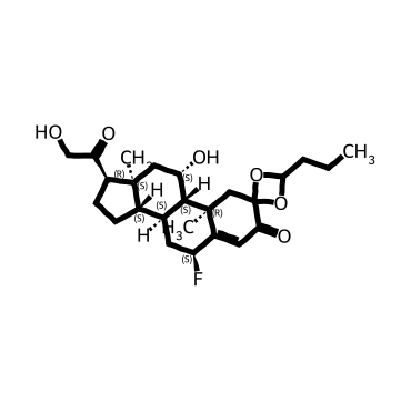 CCCC1OC2(C[C@@]3(C)C(=CC2=O)[C@@H](F)C[C@@H]2[C@@H]3[C@@H](O)C[C@]3(C)[C@H](C(=O)CO)CC[C@@H]23)O1